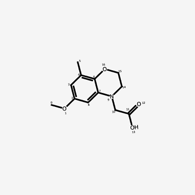 COc1cc(C)c2c(c1)N(CC(=O)O)CCO2